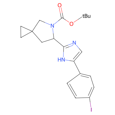 CC(C)(C)OC(=O)N1CC2(CC2)CC1c1ncc(-c2ccc(I)cc2)[nH]1